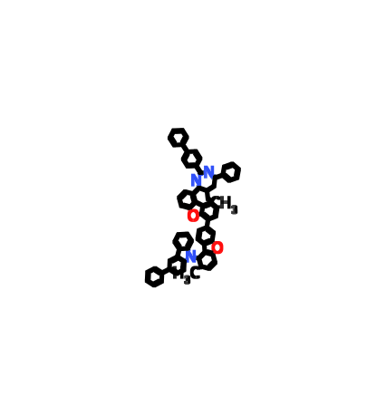 CCC1CC(c2ccccc2)=NC(c2ccc(-c3ccccc3)cc2)=NC1c1cccc2oc3c(-c4ccc5c6c(oc5c4)C=CC(C)C6n4c5ccccc5c5cc(-c6ccccc6)ccc54)cccc3c12